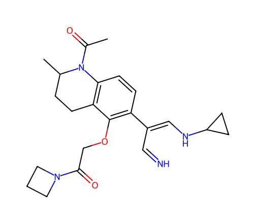 CC(=O)N1c2ccc(/C(C=N)=C/NC3CC3)c(OCC(=O)N3CCC3)c2CCC1C